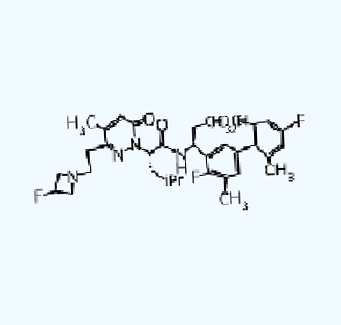 Cc1cc(=O)n([C@@H](CC(C)C)C(=O)N[C@@H](CC(=O)O)c2cc(-c3c(C)cc(F)cc3C)cc(C)c2F)nc1CCN1CC(F)C1